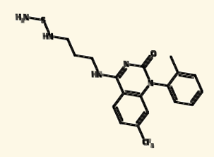 Cc1ccccc1-n1c(=O)nc(NCCCNSN)c2ccc(C(F)(F)F)cc21